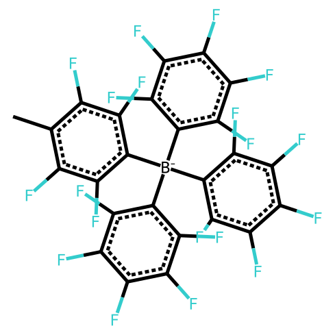 Cc1c(F)c(F)c([B-](c2c(F)c(F)c(F)c(F)c2F)(c2c(F)c(F)c(F)c(F)c2F)c2c(F)c(F)c(F)c(F)c2F)c(F)c1F